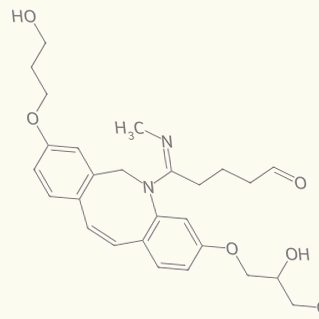 C/N=C(/CCCC=O)N1Cc2cc(OCCCO)ccc2/C=C\c2ccc(OCC(O)CO)cc21